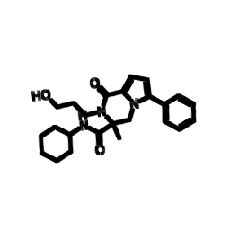 CC1(C(=O)NC2CCCCC2)Cn2c(ccc2-c2ccccc2)C(=O)N1CCCO